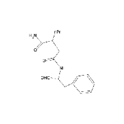 CCCC(CC(=O)N[C@@H](C=O)Cc1ccccc1)C(N)=O